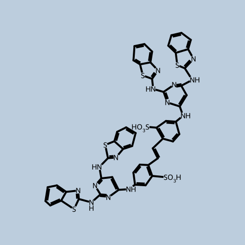 O=S(=O)(O)c1cc(Nc2cc(Nc3nc4ccccc4s3)nc(Nc3nc4ccccc4s3)n2)ccc1C=Cc1ccc(Nc2cc(Nc3nc4ccccc4s3)nc(Nc3nc4ccccc4s3)n2)cc1S(=O)(=O)O